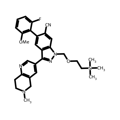 COc1cccc(F)c1-c1cc2c(-c3cnc4c(c3)CN(C)CC4)nn(COCC[Si](C)(C)C)c2cc1C#N